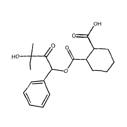 CC(C)(O)C(=O)C(OC(=O)C1CCCCC1C(=O)O)c1ccccc1